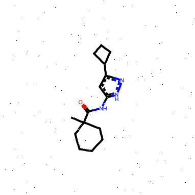 CC1(C(=O)Nc2cc(C3C[CH]C3)n[nH]2)CCCCC1